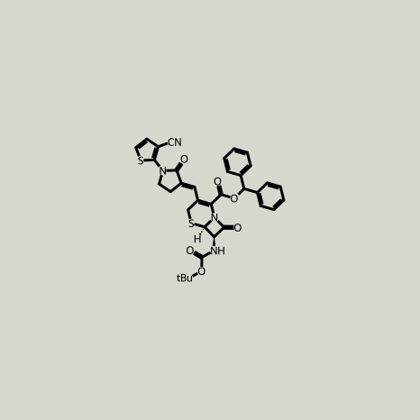 CC(C)(C)OC(=O)N[C@@H]1C(=O)N2C(C(=O)OC(c3ccccc3)c3ccccc3)=C(C=C3CCN(c4sccc4C#N)C3=O)CS[C@H]12